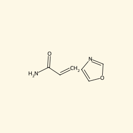 C=CC(N)=O.c1cocn1